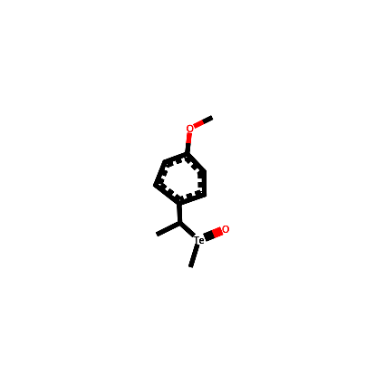 COc1ccc(C(C)[Te](C)=O)cc1